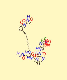 CN1CC[C@H]2CC[C@@H](C(=O)N[C@@H](CCC(N)=O)C(=O)NCCCCCCCCCC#Cc3cccc4c3CN(C3CCC(=O)NC3=O)C4=O)N2C(=O)[C@@H](NC(=O)c2cc3cc(C(F)(F)P(=O)(O)O)ncc3[nH]2)C1